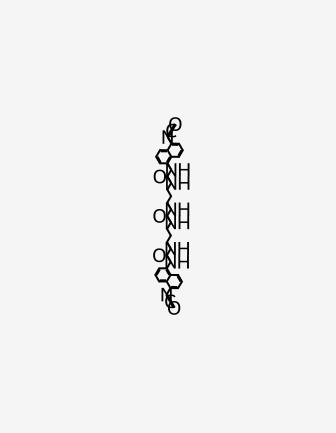 O=C=Nc1cccc2c(NC(=O)NCCCNC(=O)NCCCNC(=O)Nc3cccc4c(N=C=O)cccc34)cccc12